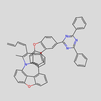 C=C/C=C\c1c(C)n(-c2cccc3oc4cccc(-c5ccc6oc7ccc(-c8nc(-c9ccccc9)nc(-c9ccccc9)n8)cc7c6c5)c4c23)c2ccccc12